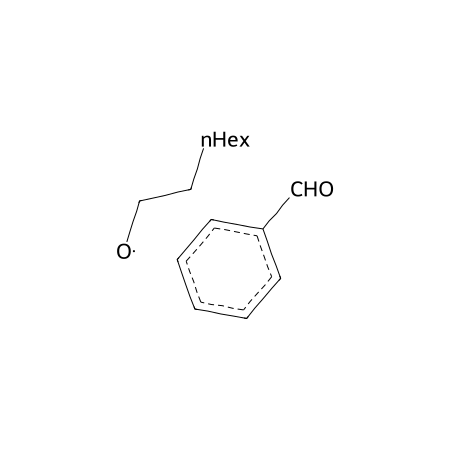 CCCCCCCC[O].O=Cc1ccccc1